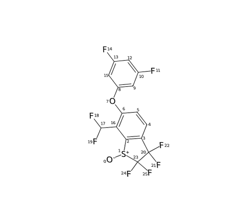 [O-][S+]1c2c(ccc(Oc3cc(F)cc(F)c3)c2C(F)F)C(F)(F)C1(F)F